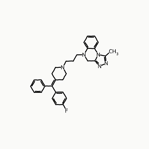 Cc1nnc2n1-c1ccccc1N(CCCN1CCC(=C(c3ccccc3)c3ccc(F)cc3)CC1)C2